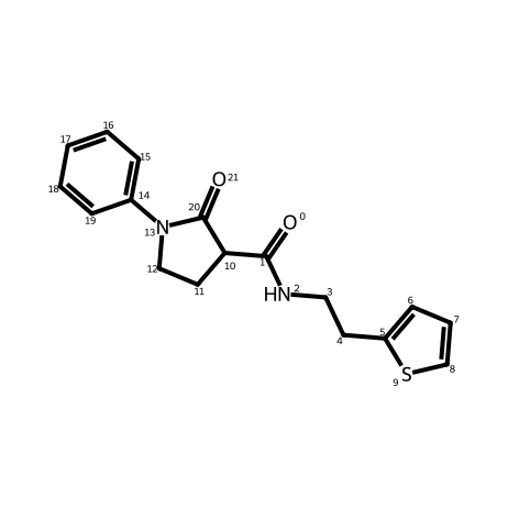 O=C(NCCc1cccs1)C1CCN(c2ccccc2)C1=O